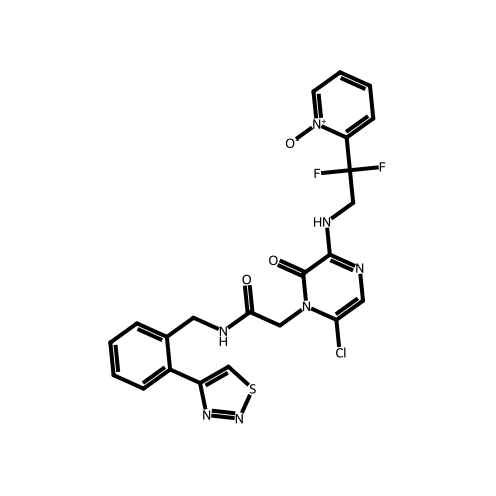 O=C(Cn1c(Cl)cnc(NCC(F)(F)c2cccc[n+]2[O-])c1=O)NCc1ccccc1-c1csnn1